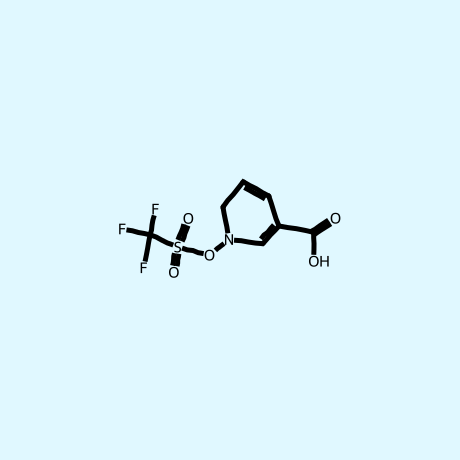 O=C(O)C1=CN(OS(=O)(=O)C(F)(F)F)CC=C1